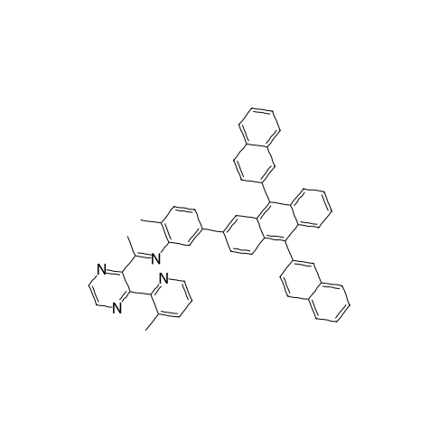 C/C(=N\c1cc(-c2ccc3c(-c4ccc5ccccc5c4)c4ccccc4c(-c4ccc5ccccc5c4)c3c2)ccc1C)c1nccnc1-c1ncccc1C